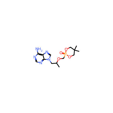 CC(Cn1cnc2c(N)ncnc21)OCP1(=O)OCC(C)(C)CO1